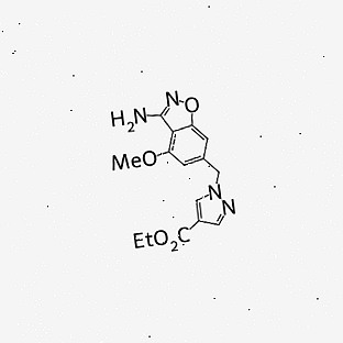 CCOC(=O)c1cnn(Cc2cc(OC)c3c(N)noc3c2)c1